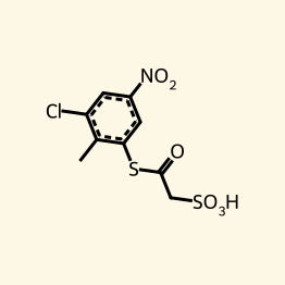 Cc1c(Cl)cc([N+](=O)[O-])cc1SC(=O)CS(=O)(=O)O